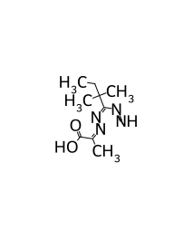 CCC(C)(C)C(N=N)=NN=C(C)C(=O)O